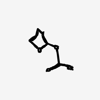 [CH2]CC(=O)Oc1ncco1